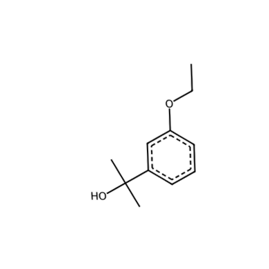 CCOc1cccc(C(C)(C)O)c1